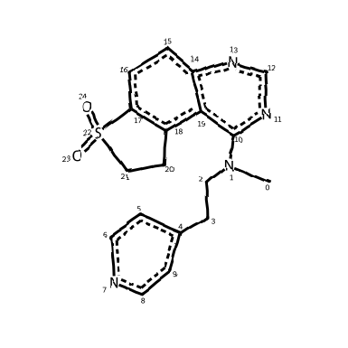 CN(CCc1ccncc1)c1ncnc2ccc3c(c12)CCS3(=O)=O